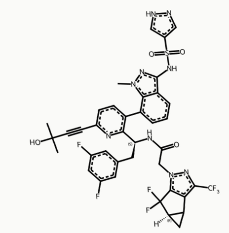 Cn1nc(NS(=O)(=O)c2cn[nH]c2)c2cccc(-c3ccc(C#CC(C)(C)O)nc3[C@H](Cc3cc(F)cc(F)c3)NC(=O)Cn3nc(C(F)(F)F)c4c3C(F)(F)[C@@H]3CC43)c21